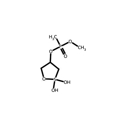 COP(C)(=O)OC1COS(O)(O)C1